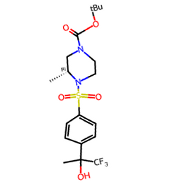 C[C@@H]1CN(C(=O)OC(C)(C)C)CCN1S(=O)(=O)c1ccc(C(C)(O)C(F)(F)F)cc1